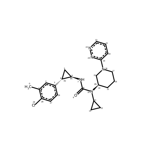 Cc1cc([C@@H]2C[C@H]2NC(=O)N(C2CC2)[C@@H]2CCCN(c3cccnn3)C2)ccc1Cl